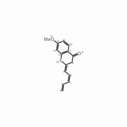 C=C/C=C\C=C1/CC(=O)c2ccc(OC)cc2S1